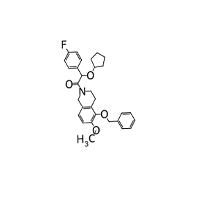 COc1ccc2c(c1OCc1ccccc1)CCN(C(=O)C(OC1CCCC1)c1ccc(F)cc1)C2